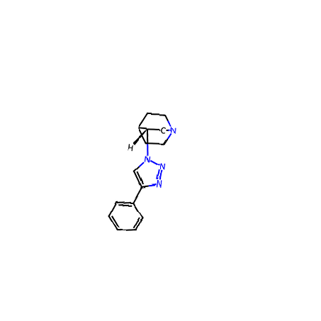 c1ccc(-c2cn([C@H]3CN4CCC3CC4)nn2)cc1